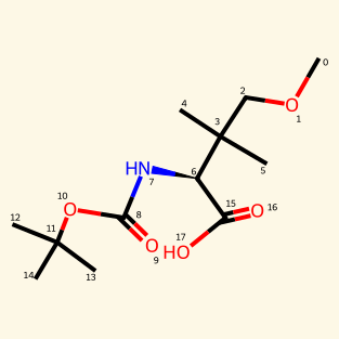 COCC(C)(C)[C@H](NC(=O)OC(C)(C)C)C(=O)O